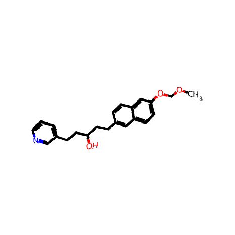 COCOc1ccc2cc(CCC(O)CCc3cccnc3)ccc2c1